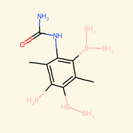 BBc1c(B)c(C)c(NC(N)=O)c(B(B)B)c1C